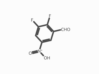 O=Cc1cc([N+](=O)O)cc(F)c1F